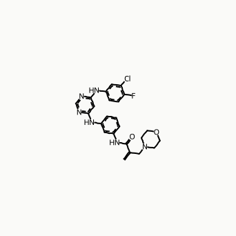 C=C(CN1CCOCC1)C(=O)Nc1cccc(Nc2cc(Nc3ccc(F)c(Cl)c3)ncn2)c1